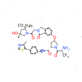 Cc1ncsc1-c1ccc(CNC(=O)[C@@H]2C[C@@H](Oc3ccc4c(c3)C(=O)N([C@H](C(=O)N3C[C@](C)(O)C[C@H]3C(=O)O)C(C)C)C4)CN2C(=O)C(N)C(F)(F)F)cc1